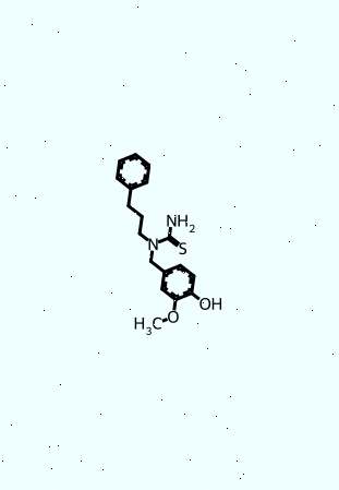 COc1cc(CN(CCCc2ccccc2)C(N)=S)ccc1O